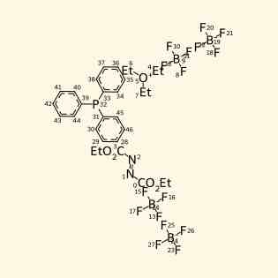 CCOC(=O)N=NC(=O)OCC.CC[O+](CC)CC.F[B-](F)(F)F.F[B-](F)(F)F.F[B-](F)(F)F.F[B-](F)(F)F.c1ccc(P(c2ccccc2)c2ccccc2)cc1